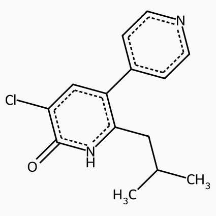 CC(C)Cc1[nH]c(=O)c(Cl)cc1-c1ccncc1